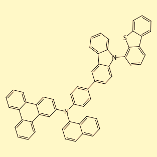 c1ccc2c(N(c3ccc(-c4ccc5c(c4)c4ccccc4n5-c4cccc5c4sc4ccccc45)cc3)c3ccc4c5ccccc5c5ccccc5c4c3)cccc2c1